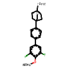 CCCCCCOc1c(F)cc(-c2ccc(C34CCC(CCCCC)(CC3)CC4)cc2)cc1F